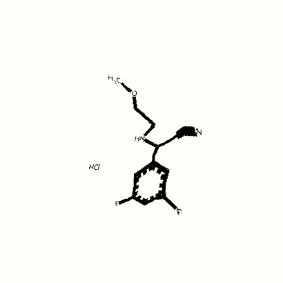 COCCNC(C#N)c1cc(F)cc(F)c1.Cl